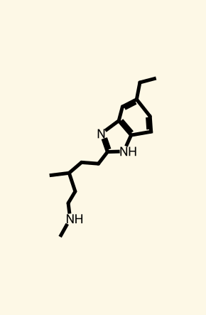 CCc1ccc2[nH]c(CCC(C)CCNC)nc2c1